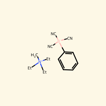 CC[N+](C)(CC)CC.N#C[B-](C#N)(C#N)c1ccccc1